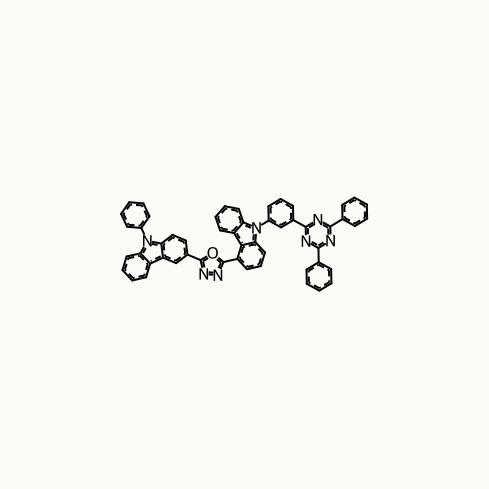 c1ccc(-c2nc(-c3ccccc3)nc(-c3cccc(-n4c5ccccc5c5c(-c6nnc(-c7ccc8c(c7)c7ccccc7n8-c7ccccc7)o6)cccc54)c3)n2)cc1